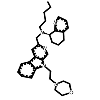 CCCCCN(Cc1cc2c3ccccc3n(CCN3CCOCC3)c2cn1)[C@@H]1CCCc2cccnc21